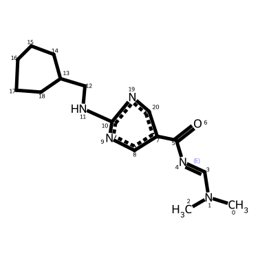 CN(C)/C=N/C(=O)c1cnc(NCC2CCCCC2)nc1